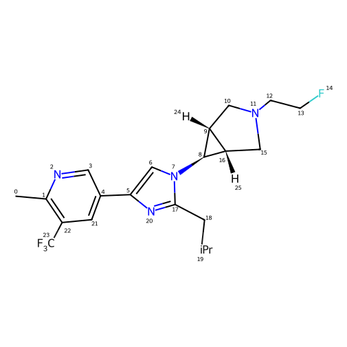 Cc1ncc(-c2cn([C@H]3[C@@H]4CN(CCF)C[C@@H]43)c(CC(C)C)n2)cc1C(F)(F)F